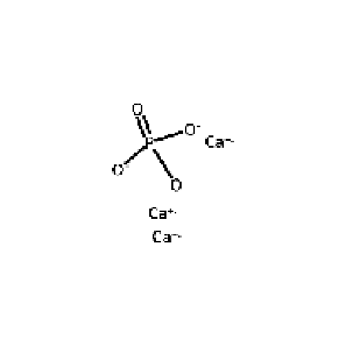 O=P([O-])([O-])[O-].[Ca+].[Ca+].[Ca+]